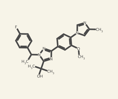 COc1cc(-c2nc(C(C)(C)O)n(C(C)c3ccc(F)cc3)n2)ccc1-n1cnc(C)c1